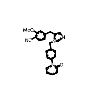 COc1cc(Cc2cncn2Cc2ccc(-n3ccccc3=O)cc2)ccc1C#N